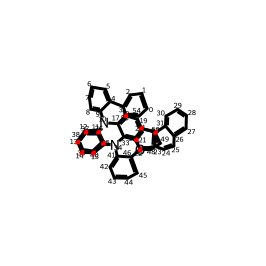 c1ccc(-c2ccccc2N(c2ccccc2)c2ccc3c(oc4ccc5ccccc5c43)c2N(c2ccccc2)c2ccccc2-c2ccccc2)cc1